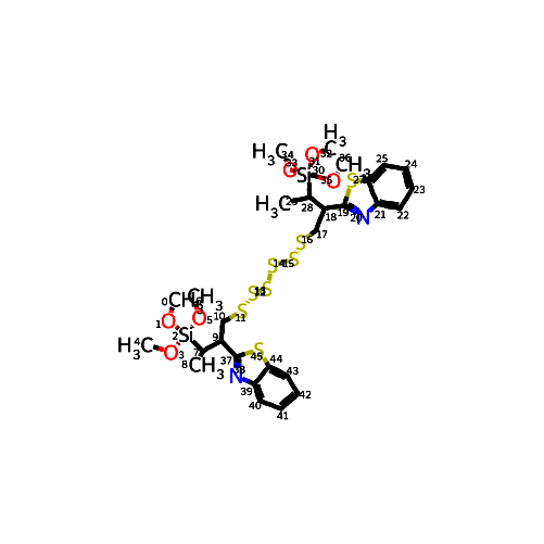 CO[Si](OC)(OC)C(C)C(CSSSSSSCC(c1nc2ccccc2s1)C(C)[Si](OC)(OC)OC)c1nc2ccccc2s1